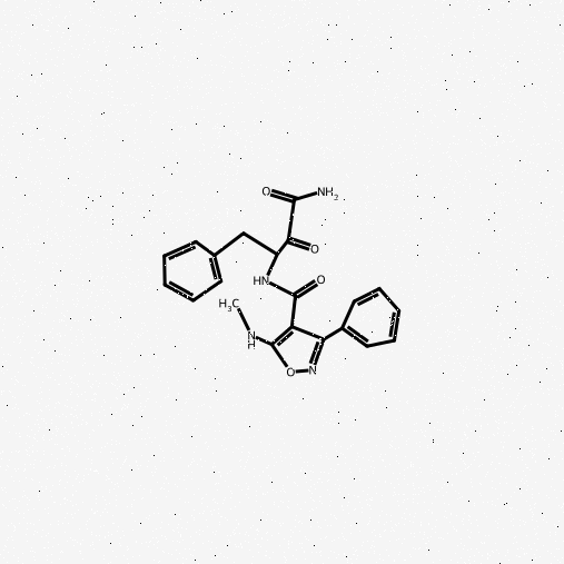 CNc1onc(-c2ccccc2)c1C(=O)NC(Cc1ccccc1)C(=O)C(N)=O